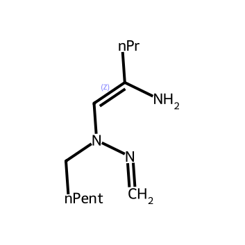 C=NN(/C=C(\N)CCC)CCCCCC